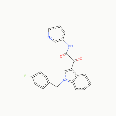 O=C(Nc1cccnc1)C(=O)c1cn(Cc2ccc(F)cc2)c2ccccc12